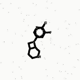 Fc1cc(N2CC3CCNCC32)cnc1Cl